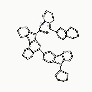 N=C(/N=C1/N=CC=C/C1=C\c1ccc2ccccc2c1)n1c2ccccc2c2c3ccccc3c(-c3ccc4c(c3)c3ccccc3n4-c3ccccc3)cc21